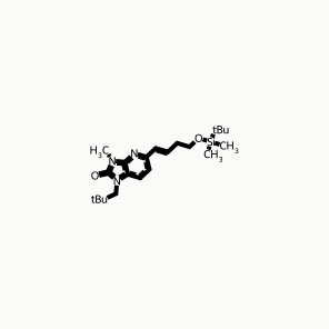 Cn1c(=O)n(CC(C)(C)C)c2ccc(C=CCCO[Si](C)(C)C(C)(C)C)nc21